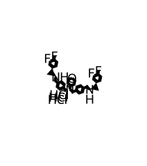 Cl.Cl.Cl.Fc1ccc([C@@H]2C[C@H]2NCc2ccc(CN(Cc3ccc(CN[C@@H]4C[C@H]4c4ccc(F)c(F)c4)cc3)C3CCOCC3)cc2)cc1F